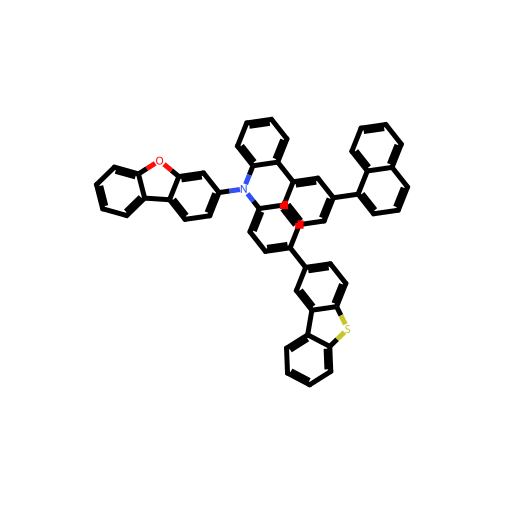 c1cc(-c2ccccc2N(c2ccc(-c3ccc4sc5ccccc5c4c3)cc2)c2ccc3c(c2)oc2ccccc23)cc(-c2cccc3ccccc23)c1